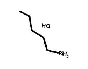 CCCC[CH2][BiH2].Cl